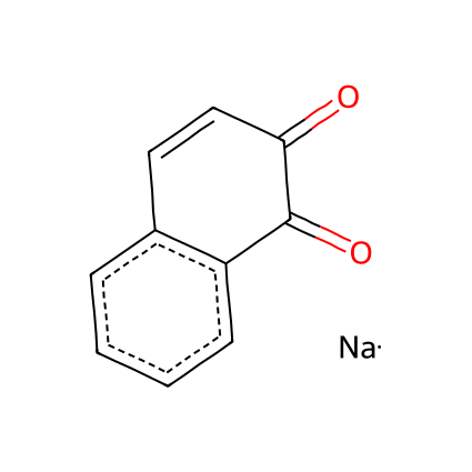 O=C1C=Cc2ccccc2C1=O.[Na]